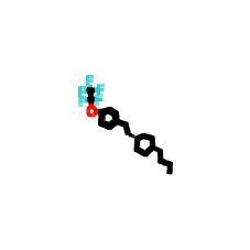 CCCC[C@H]1CC[C@H](CCc2ccc(OC(F)(F)C(F)(F)F)cc2)CC1